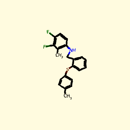 Cc1ccc(Sc2ccccc2CNc2ccc(F)c(F)c2C)cc1